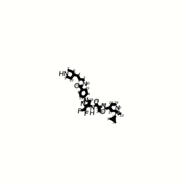 CN(CCCC1CCNCC1)C(=O)C1CCC(n2cc(NC(=O)c3coc(-c4ccnc(N(C)C5CC5)c4)n3)c(C(F)F)n2)CC1